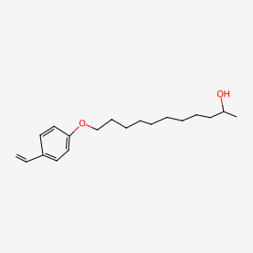 C=Cc1ccc(OCCCCCCCCCC(C)O)cc1